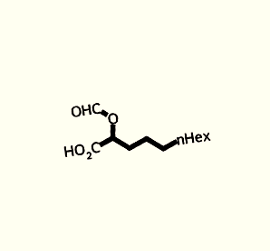 CCCCCCCCCC(OC=O)C(=O)O